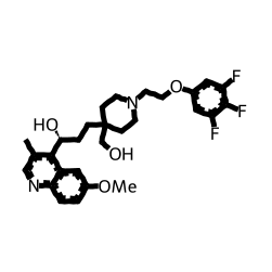 COc1ccc2ncc(C)c([C@H](O)CCC3(CO)CCN(CCOc4cc(F)c(F)c(F)c4)CC3)c2c1